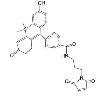 C[Si]1(C)C2=CC(=O)C=CC2=C(c2ccc(C(=O)NCCCN3C(=O)C=CC3=O)cc2)c2ccc(O)cc21